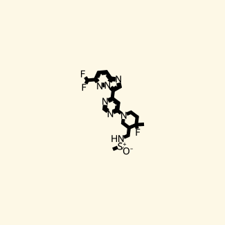 C[S+]([O-])NCC1CN(c2cc(-c3cnc4ccc(C(F)F)nn34)ncn2)CCC1(C)F